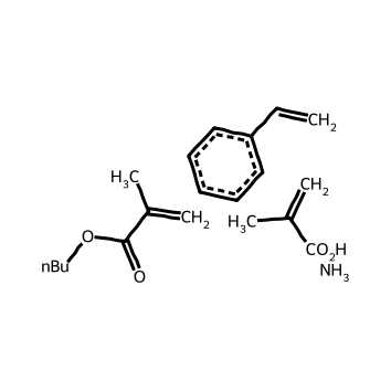 C=C(C)C(=O)O.C=C(C)C(=O)OCCCC.C=Cc1ccccc1.N